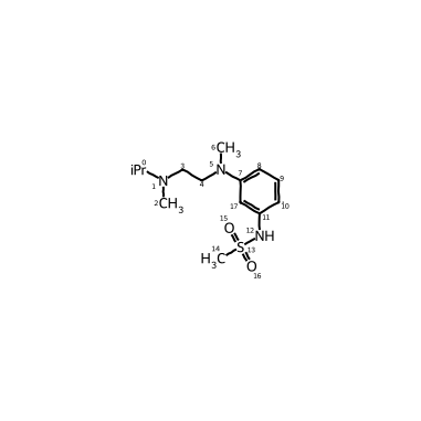 CC(C)N(C)CCN(C)c1cc[c]c(NS(C)(=O)=O)c1